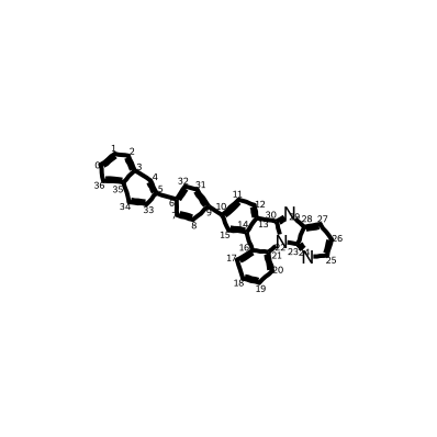 c1ccc2cc(-c3ccc(-c4ccc5c(c4)c4ccccc4n4c6ncccc6nc54)cc3)ccc2c1